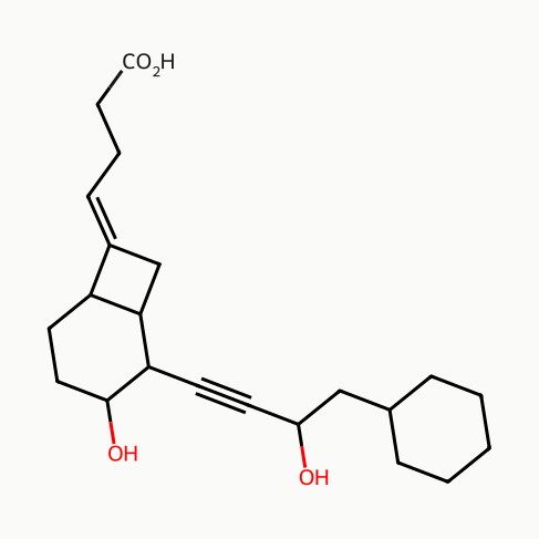 O=C(O)CCC=C1CC2C1CCC(O)C2C#CC(O)CC1CCCCC1